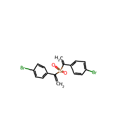 C=C(c1ccc(Br)cc1)S(=O)(=O)C(=C)c1ccc(Br)cc1